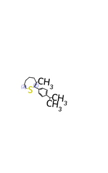 C/C1=C(\c2ccc(C(C)C)cc2)S/C=C\CCC1